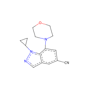 N#Cc1cc(N2CCOCC2)c2c(cnn2C2CC2)c1